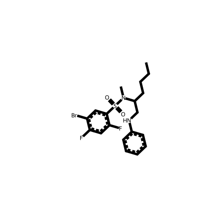 CCCCC(CNc1ccccc1)N(C)S(=O)(=O)c1cc(Br)c(F)cc1F